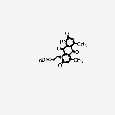 CCCCCCCCCCCCn1c2c(c(C)cc1=O)C(=O)c1c(C)cc(=O)[nH]c1C2=O